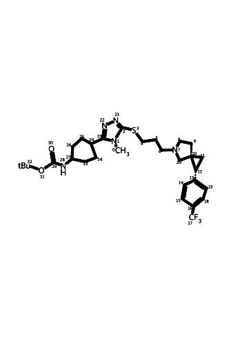 Cn1c(SCCCN2CC[C@]3(C[C@@H]3c3ccc(C(F)(F)F)cc3)C2)nnc1C1CCC(NC(=O)OC(C)(C)C)CC1